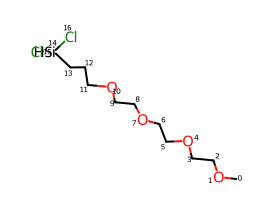 COCCOCCOCCOCCC[SiH](Cl)Cl